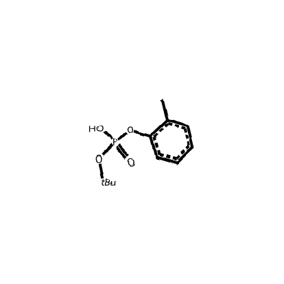 Cc1ccccc1OP(=O)(O)OC(C)(C)C